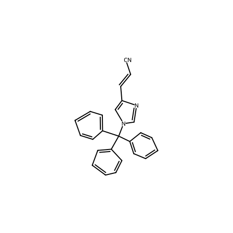 N#CC=Cc1cn(C(c2ccccc2)(c2ccccc2)c2ccccc2)cn1